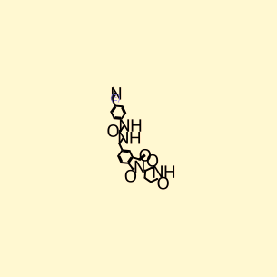 C/N=C/c1ccc(NC(=O)NCc2ccc3c(c2)C(=O)N(C2CCC(=O)NC2=O)C3=O)cc1